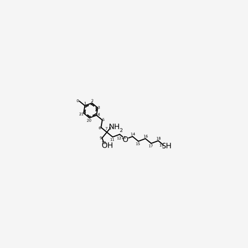 Cc1ccc(CCC(N)(CO)CCOCCCCCS)cc1